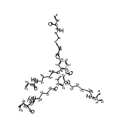 C=CC(=O)NCCCCOc1ccc(C(=O)c2ccc(OCCCCNC(=O)C=C)cc2OCCCCNC(=O)C=C)c(OCCCCNC(=O)C=C)c1